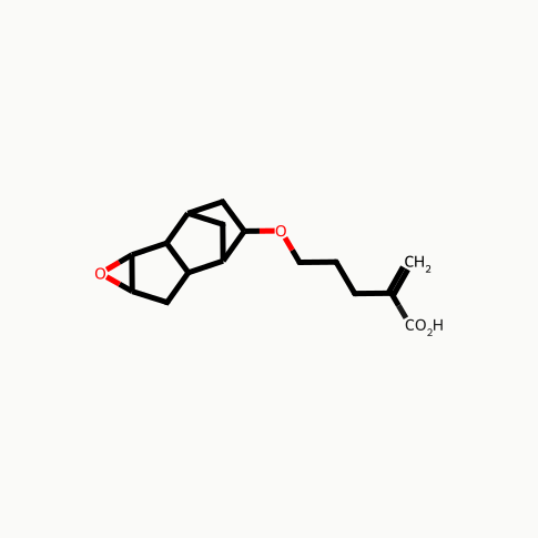 C=C(CCCOC1CC2CC1C1CC3OC3C21)C(=O)O